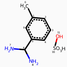 Cc1cccc(C(N)N)c1.O=S(=O)(O)O